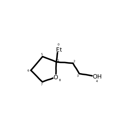 CCC1(CCO)CCCO1